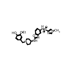 CCOc1cc(CN2CCC(Nc3nc4cc(NS(=O)(=O)c5cn(C)cn5)ccc4o3)CC2)ccc1O